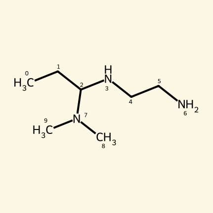 CCC(NCCN)N(C)C